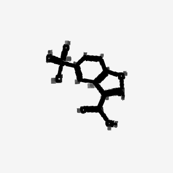 O=C(O)c1noc2ccc(S(=O)(=O)Cl)cc12